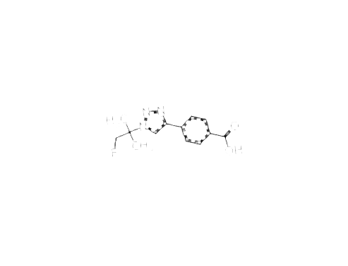 CC(C)(CF)n1cc(-c2ccc(C(=O)O)cc2)nn1